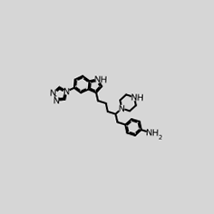 Nc1ccc(CC(CCCc2c[nH]c3ccc(-n4cnnc4)cc23)N2CCNCC2)cc1